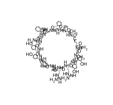 CC[C@H](C)[C@@H]1NC(=O)[C@H](Cc2ccc(O)cc2)NC(=O)[C@H](Cc2ccc(O)cc2)NC(=O)[C@H](CC(N)=O)NC(=O)[C@H](Cc2c[nH]c3ccccc23)NC(=O)[C@H](C(C)C)NC(=O)[C@H](Cc2ccccc2)NC(=O)[C@H](C(C)C)NC(=O)[C@H](C)NC(=O)CCC[C@@H](C(N)=O)NC(=O)[C@H](Cc2ccc(O)cc2)N(C)C(=O)[C@H](Cc2ccc(O)cc2)NC(=O)[C@H](CCCNC(=N)N)NC(=O)[C@H](CCCNC(=N)N)NC(=O)[C@H]([C@@H](C)CC)NC1=O